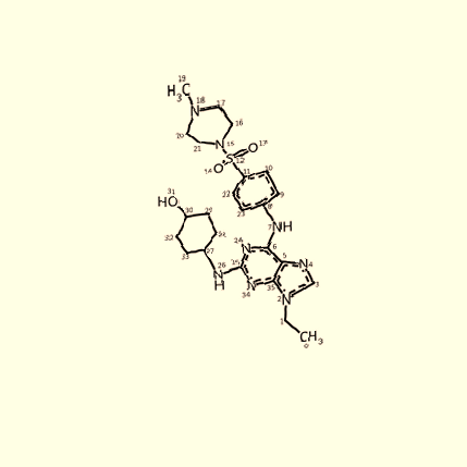 CCn1cnc2c(Nc3ccc(S(=O)(=O)N4CCN(C)CC4)cc3)nc(NC3CCC(O)CC3)nc21